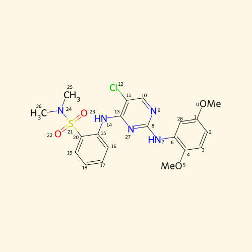 COc1ccc(OC)c(Nc2ncc(Cl)c(Nc3ccccc3S(=O)(=O)N(C)C)n2)c1